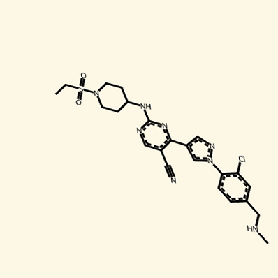 CCS(=O)(=O)N1CCC(Nc2ncc(C#N)c(-c3cnn(-c4ccc(CNC)cc4Cl)c3)n2)CC1